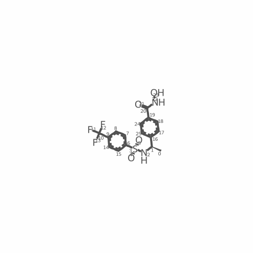 C[C@@H](NS(=O)(=O)c1ccc(C(F)(F)F)cc1)c1ccc(C(=O)NO)cc1